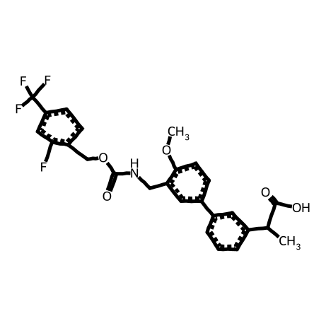 COc1ccc(-c2cccc(C(C)C(=O)O)c2)cc1CNC(=O)OCc1ccc(C(F)(F)F)cc1F